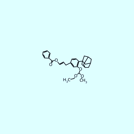 CCOC(OC)Oc1cc(CC=COC(=O)c2ccccc2)ccc1C12CC3CC(CC(C3)C1)C2